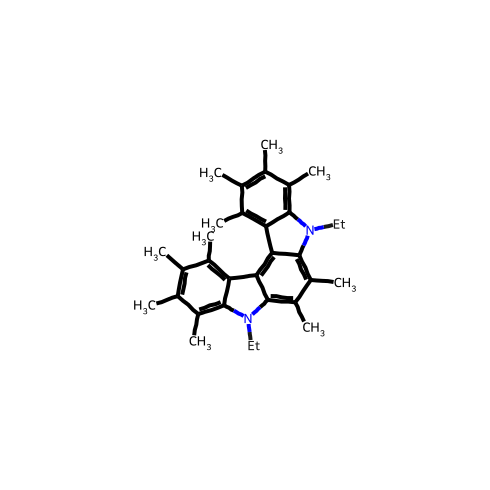 CCn1c2c(C)c(C)c(C)c(C)c2c2c3c4c(C)c(C)c(C)c(C)c4n(CC)c3c(C)c(C)c21